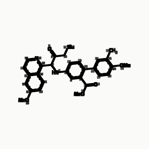 COC(=O)c1cc(NC(C(=O)CC(C)(C)C)c2nccc3cc(OC)ccc23)ccc1-c1ccc(OC)c(C)c1